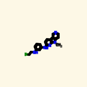 Cn1c2ccncc2c2ccc(Nc3cccc(NCCF)c3)nc21